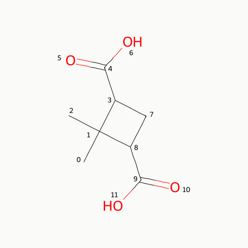 CC1(C)C(C(=O)O)CC1C(=O)O